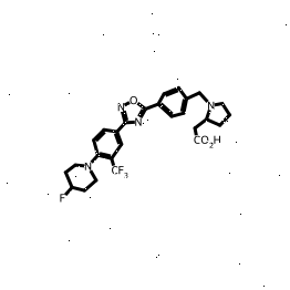 O=C(O)CC1CCCN1Cc1ccc(-c2nc(-c3ccc(N4CCC(F)CC4)c(C(F)(F)F)c3)no2)cc1